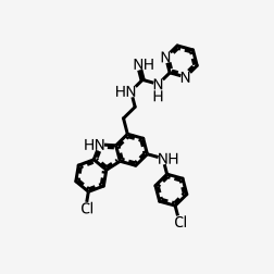 N=C(NCCc1cc(Nc2ccc(Cl)cc2)cc2c1[nH]c1ccc(Cl)cc12)Nc1ncccn1